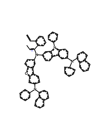 C=Cc1ccccc1/C(=C\C)N(c1ccc2oc3cc(N(c4ccccc4)c4cccc5ccccc45)ccc3c2c1)c1ccc2c3cc(N(c4ccccc4)c4cccc5ccccc45)ccc3n(-c3ccccc3)c2c1